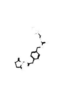 O=C(Cc1ccc(CNC(=O)OCS(=O)(=O)O)cc1)ON1C(=O)CCC1=O